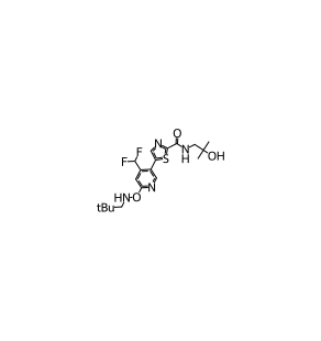 CC(C)(C)CNOc1cc(C(F)F)c(-c2cnc(C(=O)NCC(C)(C)O)s2)cn1